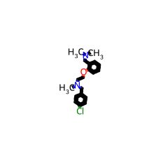 CN(C)Cc1ccccc1OCCN(C)Cc1ccc(Cl)cc1